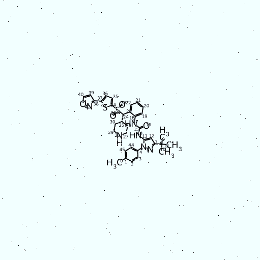 Cc1ccc(-n2nc(C(C)(C)C)cc2NC(=O)Nc2ccccc2C(C2CCNCC2)S(=O)(=O)c2ccc(-c3ccon3)s2)cc1